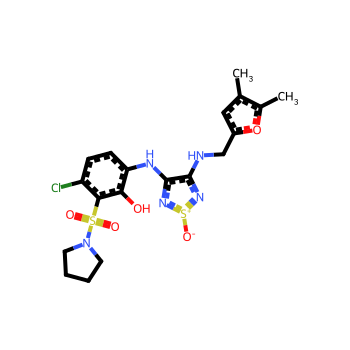 Cc1cc(CNc2n[s+]([O-])nc2Nc2ccc(Cl)c(S(=O)(=O)N3CCCC3)c2O)oc1C